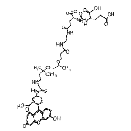 CC(COC(C)(C)CCNC(=S)Nc1ccc(-c2c3ccc(=O)cc-3oc3cc(O)ccc23)c(C(=O)O)c1)OCCC(=O)NCCNC(=O)CC[C@H](NC(=O)N[C@@H](CCC(=O)O)C(=O)O)C(=O)O